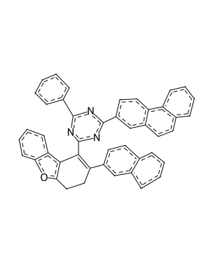 c1ccc(-c2nc(C3=C(c4ccc5ccccc5c4)CCc4oc5ccccc5c43)nc(-c3ccc4c(ccc5ccccc54)c3)n2)cc1